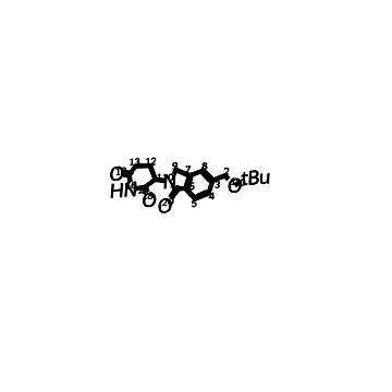 CC(C)(C)OCc1ccc2c(c1)CN(C1CCC(=O)NC1=O)C2=O